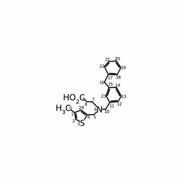 Cc1csc(CN(CCC(=O)O)Cc2cccc(Cc3ccccc3)c2)c1